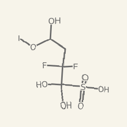 O=S(=O)(O)C(O)(O)C(F)(F)CC(O)OI